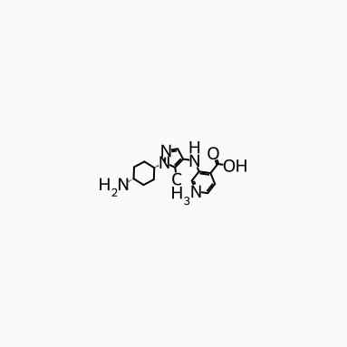 Cc1c(Nc2cnccc2C(=O)O)cnn1[C@H]1CC[C@@H](N)CC1